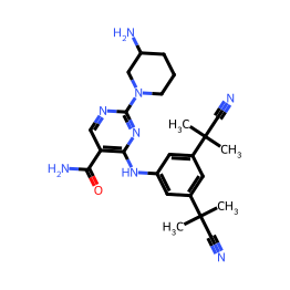 CC(C)(C#N)c1cc(Nc2nc(N3CCCC(N)C3)ncc2C(N)=O)cc(C(C)(C)C#N)c1